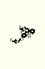 CC1Cc2c([nH]c3ccccc23)C(c2c(F)cc(OCCN3CC(CF)C3)cc2F)N1CC(C)(C)F